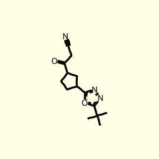 CC(C)(C)c1nnc(C2CCC(C(=O)CC#N)C2)o1